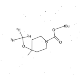 [2H]C([2H])([2H])OC1(C)CCN(C(=O)OC(C)(C)C)CC1